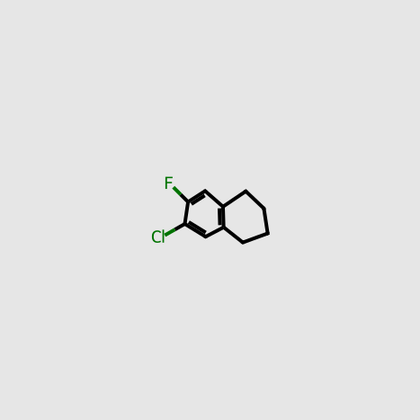 Fc1cc2c(cc1Cl)CCCC2